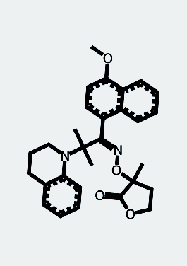 COc1ccc(C(=NOC2(C)CCOC2=O)C(C)(C)N2CCCc3ccccc32)c2ccccc12